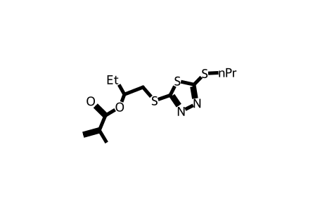 C=C(C)C(=O)OC(CC)CSc1nnc(SCCC)s1